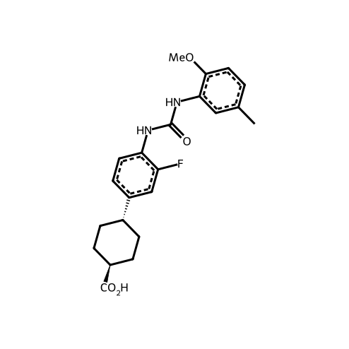 COc1ccc(C)cc1NC(=O)Nc1ccc([C@H]2CC[C@H](C(=O)O)CC2)cc1F